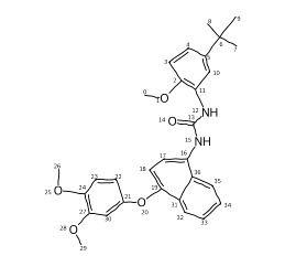 COc1ccc(C(C)(C)C)cc1NC(=O)Nc1ccc(Oc2ccc(OC)c(OC)c2)c2ccccc12